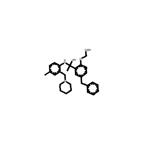 CCCC(C)(Pc1ccc(C)cc1CN1CCCCC1)c1cc(Cc2ccccc2)ccc1OCOC